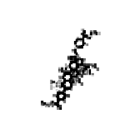 C=C(C)[C@@H]1CC[C@]2(NCCN3CCN(C(=O)OC(C)(C)C)CC3)CC[C@]3(C)[C@H](CCC4[C@@]5(C)CC=C(c6ccc(C(=O)OC)cc6)C(C)(C)C5CC[C@]43C)C12